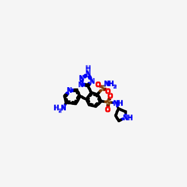 Nc1cncc(-c2ccc(S(=O)(=O)N[C@@H]3CCNC3)c(S(N)(=O)=O)c2-c2nn[nH]n2)c1